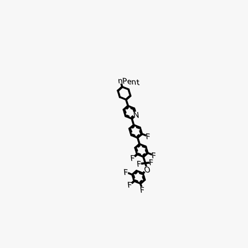 CCCCCC1CCC(c2ccc(-c3ccc(-c4cc(F)c(C(F)(F)Oc5cc(F)c(F)c(F)c5)c(F)c4)c(F)c3)nc2)CC1